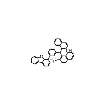 Cc1ccc2c(c1B(c1cccc(-c3cccc4c3oc3ccccc34)c1)c1c(C)ccc3ccccc13)CCC=C2